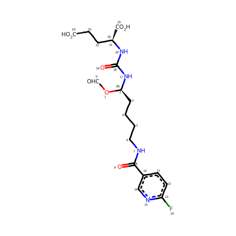 O=CO[C@H](CCCCNC(=O)c1ccc(F)nc1)NC(=O)N[C@@H](CCC(=O)O)C(=O)O